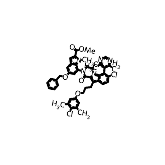 COC(=O)c1cc2cc(OCc3ccccc3)cc(N3C[C@@H](C)n4c(c(CCCOc5cc(C)c(Cl)c(C)c5)c5ccc(Cl)c(-c6c(C)ncnc6C)c54)C3=O)c2n1C